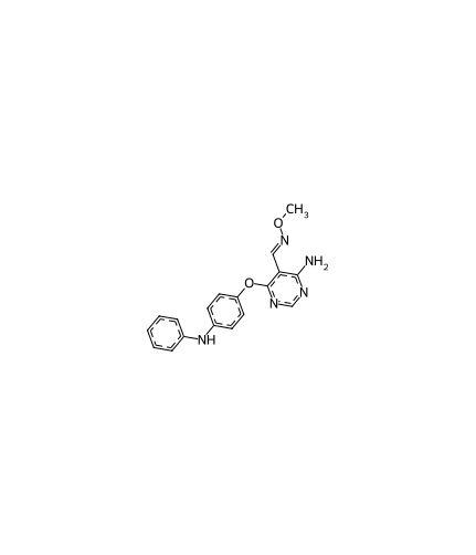 CON=Cc1c(N)ncnc1Oc1ccc(Nc2ccccc2)cc1